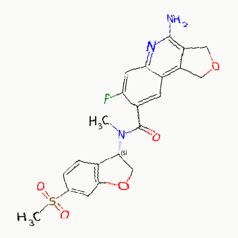 CN(C(=O)c1cc2c3c(c(N)nc2cc1F)COC3)[C@@H]1COc2cc(S(C)(=O)=O)ccc21